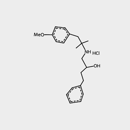 COc1ccc(CC(C)(C)NCC(O)CCc2ccccc2)cc1.Cl